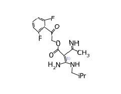 CC(=N)/C(C(=O)OCC(=O)c1c(F)cccc1F)=C(/N)NCC(C)C